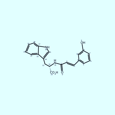 O=C(C=Cc1cccc(O)c1)N[C@@H](Cc1c[nH]c2ccccc12)C(=O)O